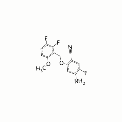 COc1ccc(F)c(F)c1COc1cc(N)c(F)cc1C#N